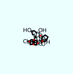 O=C(O)[C@H]1C[C@@H](O)CN1C(=O)c1cc(Cl)ccc1OCC(=O)N1[C@@H]2CC[C@H]1CC(Oc1ccc(F)cc1)C2